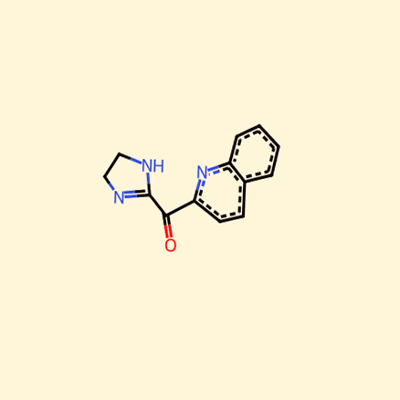 O=C(C1=NCCN1)c1ccc2ccccc2n1